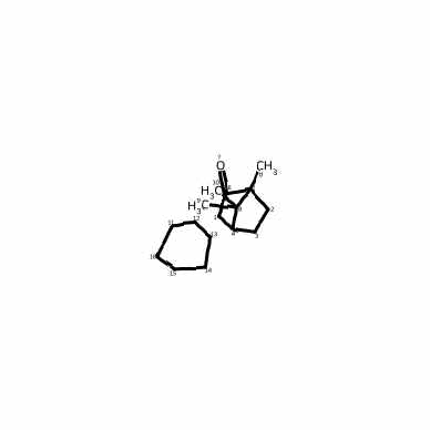 CC12CCC(CC1=O)C2(C)C.[CH]1CCCCC1